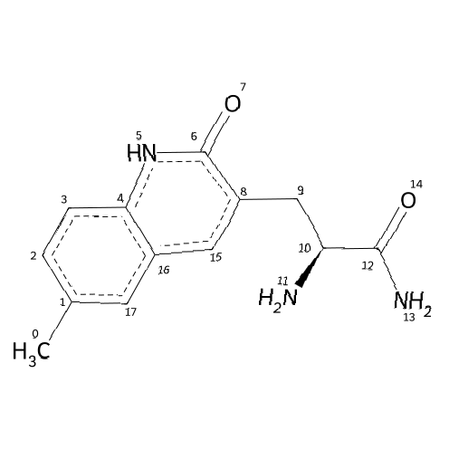 Cc1ccc2[nH]c(=O)c(C[C@H](N)C(N)=O)cc2c1